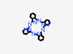 C1=CC2c3nc(nc4[nH]c(nc5nc(nc6[nH]c(n3)c3ccccc63)-c3ccccc3-5)c3ccccc43)C2C=C1